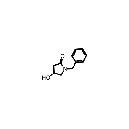 O=C1C[C@H](O)CN1Cc1ccccc1